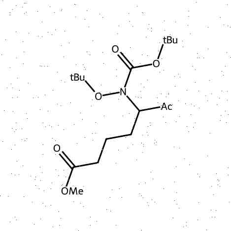 COC(=O)CCCC(C(C)=O)N(OC(C)(C)C)C(=O)OC(C)(C)C